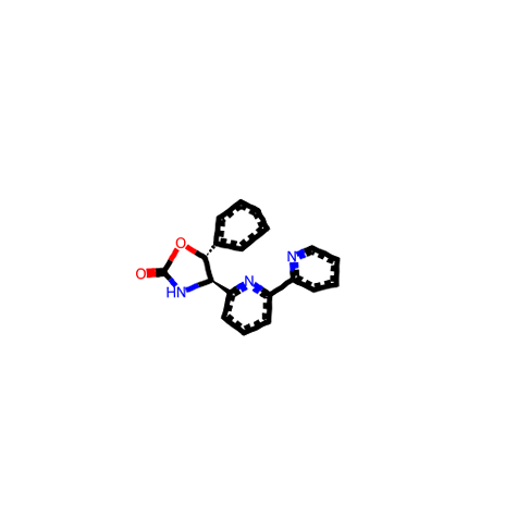 O=C1N[C@H](c2cccc(-c3ccccn3)n2)[C@@H](c2ccccc2)O1